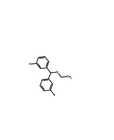 [CH2]COC(c1cccc(F)c1)c1cccc(F)c1